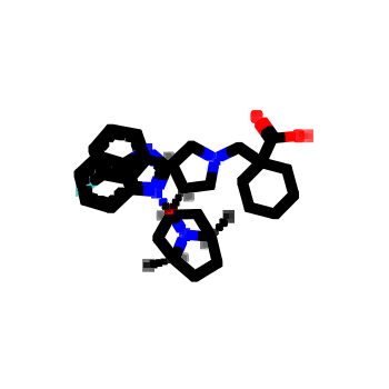 O=C(O)C1(CN2C[C@H](CN3[C@@H]4CC[C@H]3C[C@H](n3cnc5ccccc53)C4)[C@@H](c3cccc(F)c3)C2)CCCCC1